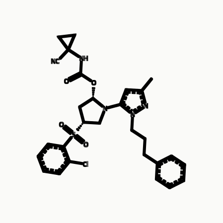 Cc1cc(N2C[C@H](S(=O)(=O)c3ccccc3Cl)C[C@@H]2OC(=O)NC2(C#N)CC2)n(CCCc2ccccc2)n1